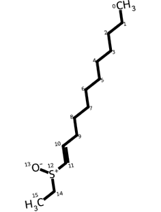 CCCCCCCCCCC=C[S+]([O-])CC